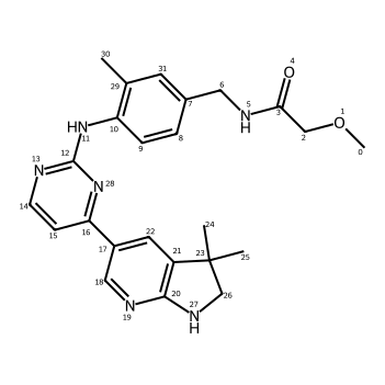 COCC(=O)NCc1ccc(Nc2nccc(-c3cnc4c(c3)C(C)(C)CN4)n2)c(C)c1